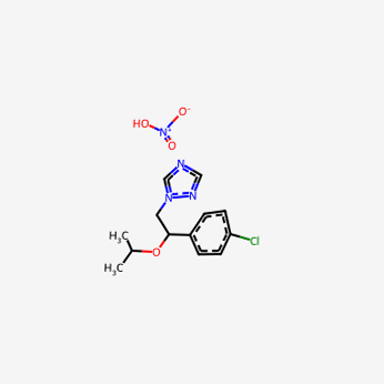 CC(C)OC(Cn1cncn1)c1ccc(Cl)cc1.O=[N+]([O-])O